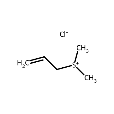 C=CC[S+](C)C.[Cl-]